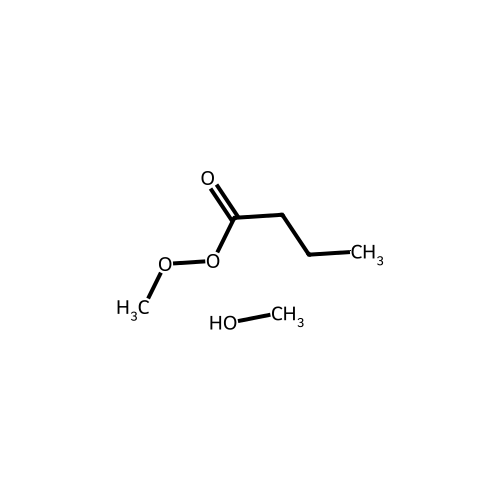 CCCC(=O)OOC.CO